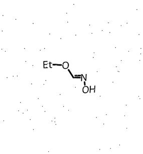 CCOC=NO